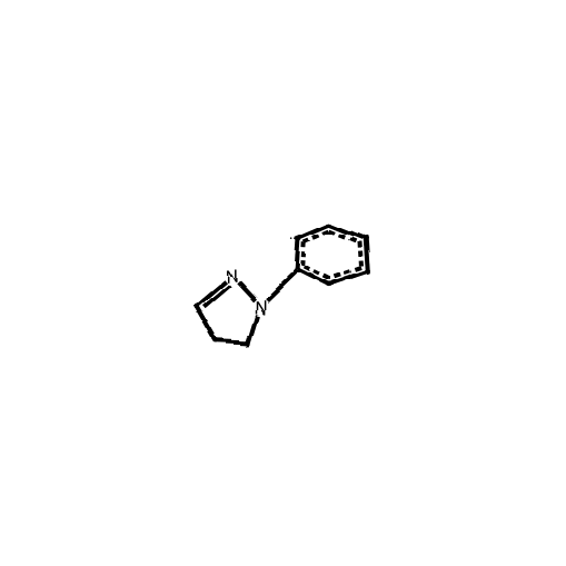 [c]1ccccc1N1CCC=N1